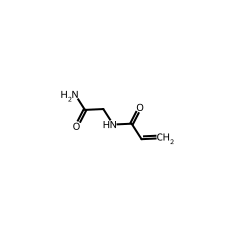 C=CC(=O)NCC(N)=O